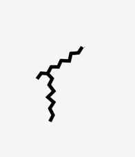 [CH2]CCCCCCC(CC)CCCCCCCC